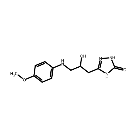 COc1ccc(NCC(O)Cc2n[nH]c(=O)[nH]2)cc1